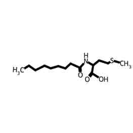 CCCCCCCCC(=O)NC(CCSC)C(=O)O